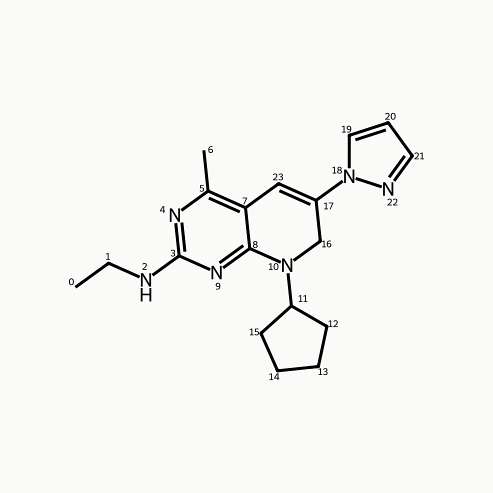 CCNc1nc(C)c2c(n1)N(C1CCCC1)CC(n1cccn1)=C2